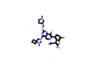 CN1CC[C@@H](COc2nc(NCC3(N(C)C)CCC3)c3cnc(-c4ccc(F)c5sc(N)c(C#N)c45)c(F)c3n2)C1